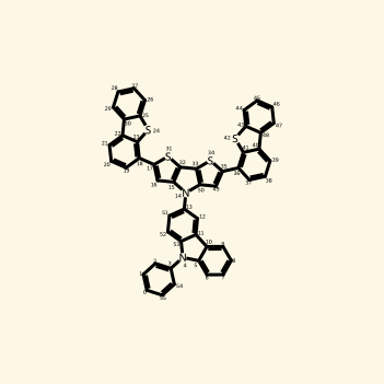 c1ccc(-n2c3ccccc3c3cc(-n4c5cc(-c6cccc7c6sc6ccccc67)sc5c5sc(-c6cccc7c6sc6ccccc67)cc54)ccc32)cc1